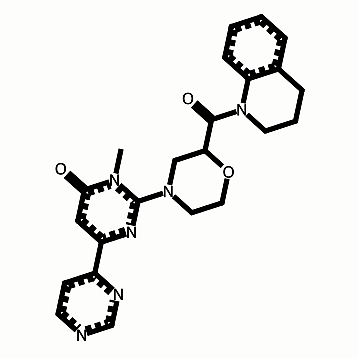 Cn1c(N2CCOC(C(=O)N3CCCc4ccccc43)C2)nc(-c2ccncn2)cc1=O